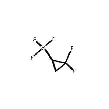 F[B-](F)(F)C1CC1(F)F